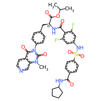 CC(C)OC(=O)[C@H](Cc1ccc(-n2c(=O)c3ccncc3n(C)c2=O)cc1)NC(=O)c1c(F)cc(NS(=O)(=O)c2ccc(C(=O)NC3CCCC3)cc2)cc1F